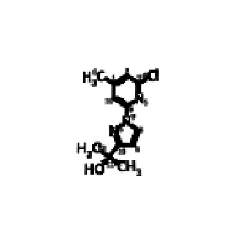 Cc1cc(Cl)nc(-n2ccc(C(C)(C)O)n2)c1